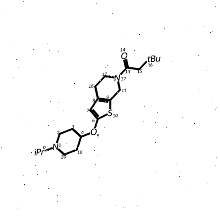 CC(C)N1CCC(Oc2cc3c(s2)CN(C(=O)CC(C)(C)C)CC3)CC1